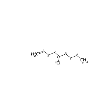 C=CCCC(Cl)CCCC